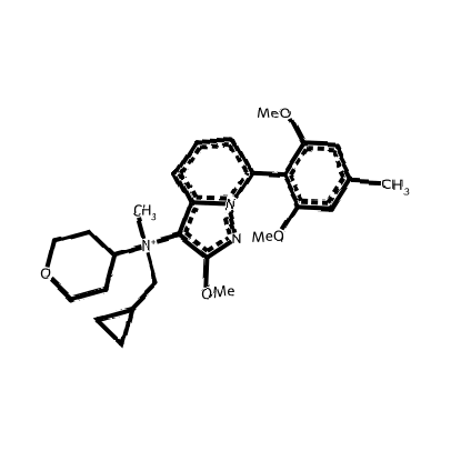 COc1cc(C)cc(OC)c1-c1cccc2c([N+](C)(CC3CC3)C3CCOCC3)c(OC)nn12